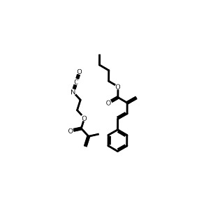 C=C(C)C(=O)OCCN=C=O.C=C(C=Cc1ccccc1)C(=O)OCCCC